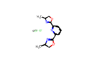 CC1COC(c2cccc(C3=NC(C)CO3)n2)=N1.[Cl-].[Cl-].[V+2]